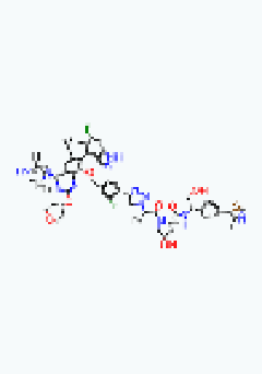 Cc1ncsc1-c1ccc(C(CO)NC(=O)[C@@H]2C[C@@H](O)CN2C(=O)C(C(C)C)n2cc(-c3ccc(COc4c(-c5c(C)c(F)cc6[nH]ncc56)c(C5CC5)cc5c(N6C[C@@H]7C[C@H]6CN7)nc(OC6CCOCC6)nc45)cc3F)nn2)cc1